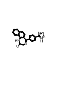 O=C1CN=C(c2ccc(-c3nnn[nH]3)cc2)c2ccc3ccccc3c2N1